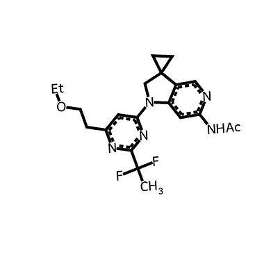 CCOCCc1cc(N2CC3(CC3)c3cnc(NC(C)=O)cc32)nc(C(C)(F)F)n1